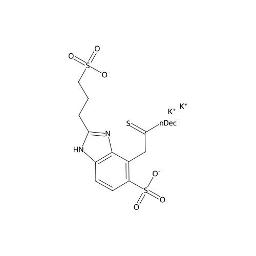 CCCCCCCCCCC(=S)Cc1c(S(=O)(=O)[O-])ccc2[nH]c(CCCS(=O)(=O)[O-])nc12.[K+].[K+]